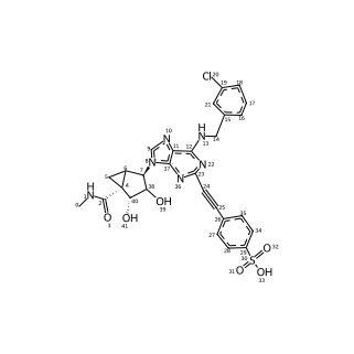 CNC(=O)[C@]12CC1[C@@H](n1cnc3c(NCc4cccc(Cl)c4)nc(C#Cc4ccc(S(=O)(=O)O)cc4)nc31)C(O)[C@@H]2O